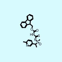 Cc1ccc(C(C)S(C)(=O)=NC(=S)NC(=O)OCC2c3ccccc3-c3ccccc32)cn1